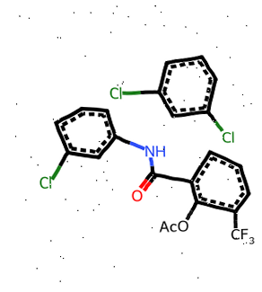 CC(=O)Oc1c(C(=O)Nc2cccc(Cl)c2)cccc1C(F)(F)F.Clc1cccc(Cl)c1